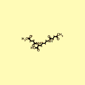 CC(=O)CCC(=O)NCCCCC(NC(=O)CCC(C)=O)C(=O)O